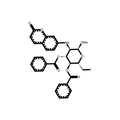 CO[C@H]1O[C@H](CF)[C@@H](OC(=O)c2ccccc2)[C@H](OC(=O)c2ccccc2)[C@H]1Nc1ccc2ccc(=O)oc2c1